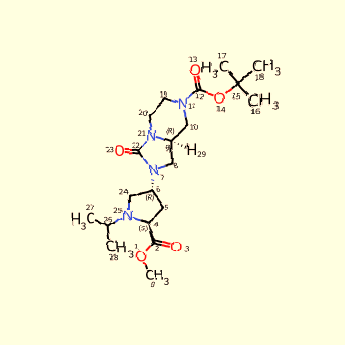 COC(=O)[C@@H]1C[C@@H](N2C[C@@H]3CN(C(=O)OC(C)(C)C)CCN3C2=O)CN1C(C)C